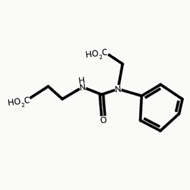 O=C(O)CCNC(=O)N(CC(=O)O)c1ccccc1